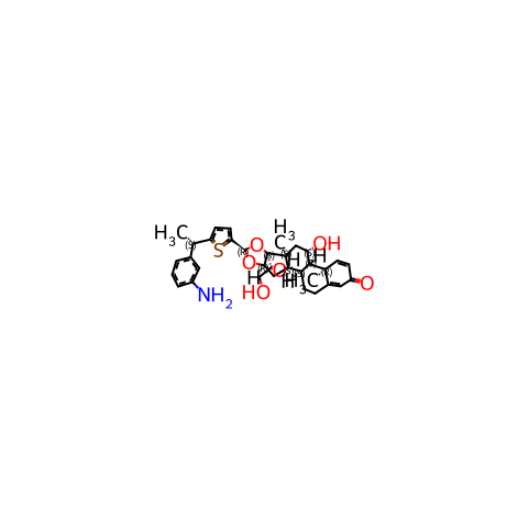 C[C@@H](c1cccc(N)c1)c1ccc([C@@H]2O[C@@H]3C[C@H]4[C@@H]5CCC6=CC(=O)C=C[C@]6(C)[C@H]5[C@@H](O)C[C@]4(C)[C@]3(C(=O)CO)O2)s1